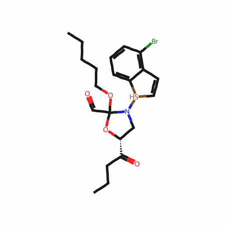 CCCCCOC1(C=O)O[C@@H](C(=O)CCC)CN1[SH]1C=Cc2c(Br)cccc21